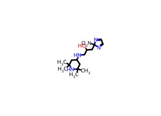 CC1(C)CC(NCC(O)CC2([N+](=O)[O-])N=CC=N2)CC(C)(C)N1